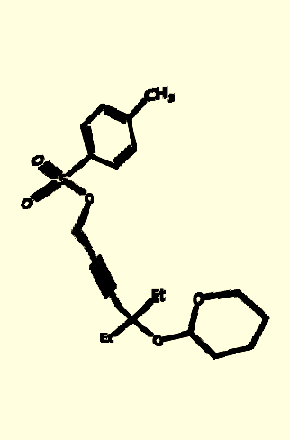 CCC(C#CCOS(=O)(=O)c1ccc(C)cc1)(CC)OC1CCCCO1